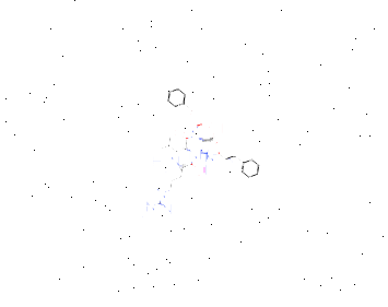 CC(C)C[C@H](NC(=O)[C@@H](N)CCCNC(=N)N)C(=O)N(C(=O)OCc1ccccc1)[C@H](CNC(=O)/C=C/c1ccccc1)[C@@H](C)O